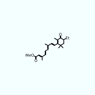 CCC1CC(C)(C)C(C=CC(C)=CC=CC(C)=CC(=O)OC)=C(C)C1=O